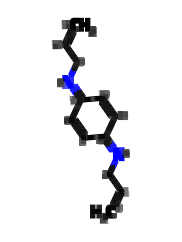 C=CCN=C1C=CC(=NCC=C)C=C1